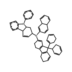 C1=CCCC(C2(C3C=CC=CC3)C3=C(CCC=C3)C3=C2C=C(N(C2=CC4C=CC=CC4C=C2)C2C=CC4c5ccccc5N(c5ccccc5)C4C2)CC3)=C1